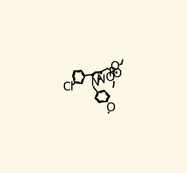 CCOP(=O)(Cc1cc(-c2cccc(Cl)c2)n(Cc2ccc(OC)cc2)n1)OCC